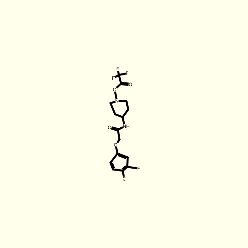 O=C(COc1ccc(Cl)c(F)c1)NC1CCN(OC(=O)C(F)(F)F)CC1